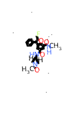 CNC(=O)c1cc(C(=O)N[C@H]2[C@@H]3CN(C(C)=O)C[C@@H]32)cc2c1OC(CF)C2c1ccccc1